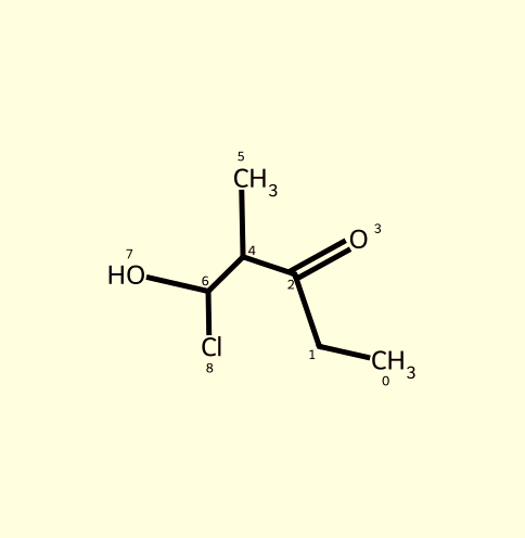 CCC(=O)C(C)C(O)Cl